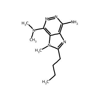 CCCCc1nc2c(N)nnc(N(C)C)c2n1C